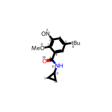 COc1c(N=O)cc(C(C)(C)C)cc1C(=O)NC1CC1